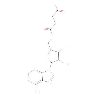 Nc1ncnc2c1ncn2C1OC(COC(=O)CCC(=O)O)C(O)C1O